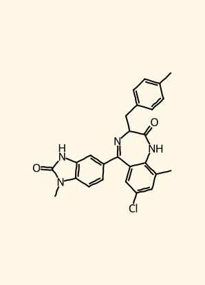 Cc1ccc(CC2N=C(c3ccc4c(c3)[nH]c(=O)n4C)c3cc(Cl)cc(C)c3NC2=O)cc1